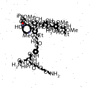 CCC(O)C(OC)C(O)C(O)Oc1c(I)c(C)c(C(=O)SC2C(O)CC(ONC3C(C)OC(O[C@H]4C#C/C=C\C#CC[C@]5(O)CC(=O)C(NC(=O)OC)C4/C5=C\CSSC(C)C)C(OC4CC(OC)C(N(CC)C(=O)CNC(=O)OCc5ccc(NC(=O)[C@H](CCCNC(N)=O)NC(=O)[C@@H](NC(=O)CCOCCOCCN)C(C)C)cc5)CO4)C3O)OC2C)c(OC)c1OC